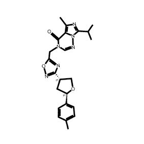 Cc1ccc([C@H]2C[C@H](c3noc(Cn4cnn5c(C(C)C)nc(C)c5c4=O)n3)CO2)cc1